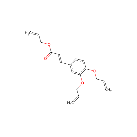 C=CCOC(=O)C=Cc1ccc(OCC=C)c(OCC=C)c1